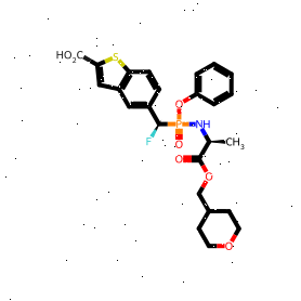 C[C@H](NP(=O)(Oc1ccccc1)[C@@H](F)c1ccc2sc(C(=O)O)cc2c1)C(=O)OCC1CCOCC1